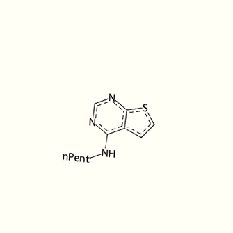 CCCCCNc1ncnc2sccc12